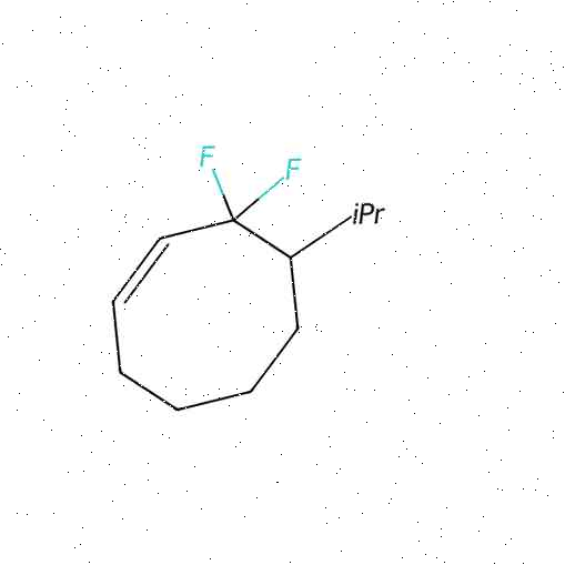 CC(C)C1CCCC/C=C\C1(F)F